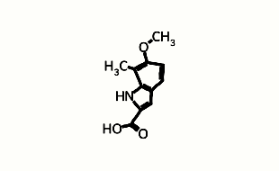 COc1ccc2cc(C(=O)O)[nH]c2c1C